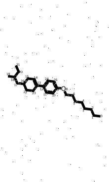 CCCCCCCCOc1ccc(C2=CCC(CC(C)CC)CC2)cc1